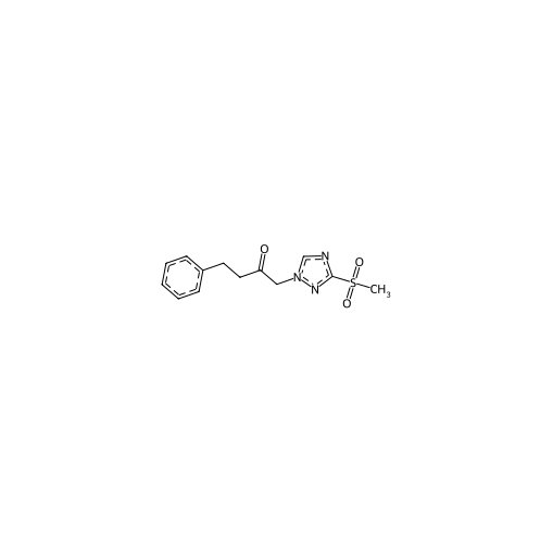 CS(=O)(=O)c1ncn(CC(=O)CCc2ccccc2)n1